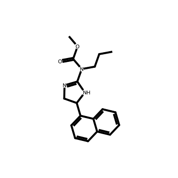 CCCN(C(=O)OC)C1=NCC(c2cccc3ccccc23)N1